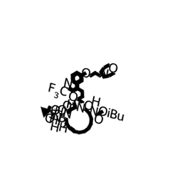 CC(C)COC(=O)N[C@H]1CCCCC/C=C\[C@@H]2P[C@@]2(C(=O)NS(=O)(=O)C2(C)CC2)NC(=O)[C@@H]2C[C@]3(CCc4c(c(C(F)(F)F)nc5ccc(OCCCN6C7CCC6COC7)cc45)O3)CN2C1=O